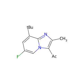 CC(=O)c1c(C)nc2c(C(C)(C)C)cc(F)cn12